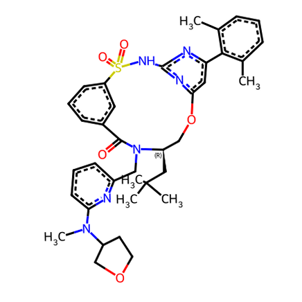 Cc1cccc(C)c1-c1cc2nc(n1)NS(=O)(=O)c1cccc(c1)C(=O)N(Cc1cccc(N(C)C3CCOC3)n1)[C@H](CC(C)(C)C)CO2